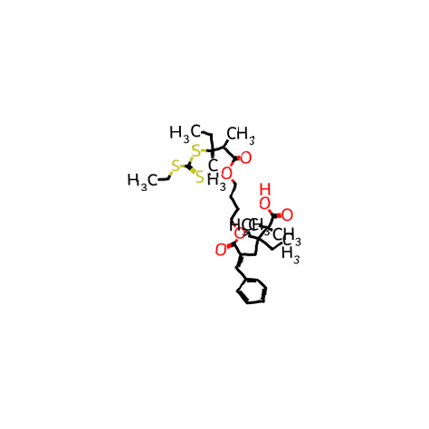 CCSC(=S)SC(C)(CC)C(C)C(=O)OCCCCOC(=O)/C(=C/c1ccccc1)CC(CC)(CC)C(C)(C)C(=O)O